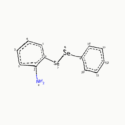 Nc1ccccc1[Se][Se]c1ccccc1